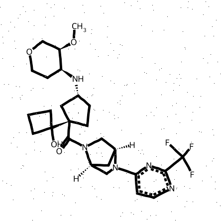 CO[C@@H]1COCC[C@@H]1N[C@@H]1CC[C@@](C(=O)N2C[C@@H]3C[C@H]2CN3c2ccnc(C(F)(F)F)n2)(C2(O)CCC2)C1